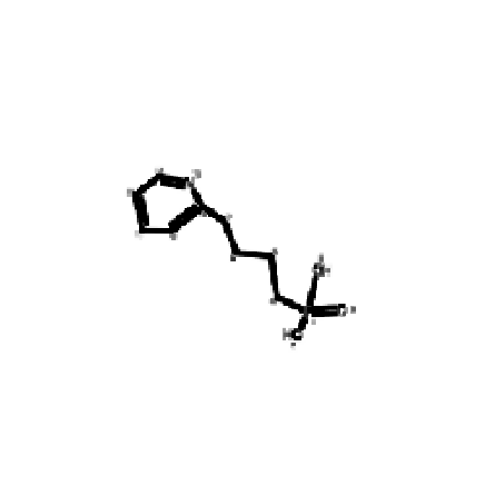 O=P(O)(O)CCCCc1ccccn1